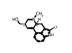 CN1C[C@H](CO)C=C2c3cccc4[nH]c(Cl)c(c34)C[C@H]21